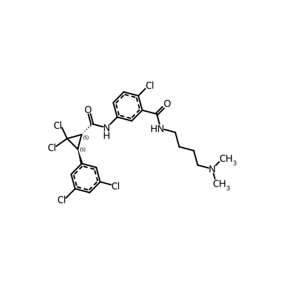 CN(C)CCCCNC(=O)c1cc(NC(=O)[C@@H]2[C@@H](c3cc(Cl)cc(Cl)c3)C2(Cl)Cl)ccc1Cl